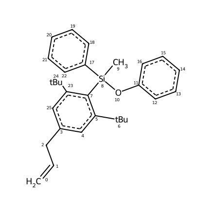 C=CCc1cc(C(C)(C)C)c([Si](C)(Oc2ccccc2)c2ccccc2)c(C(C)(C)C)c1